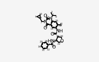 CC(C)n1c(=O)n(CC2CC2)c(=O)c2cc(NC(=O)[C@@H]3COC[C@@H]3NC(=O)c3ccccc3)c(F)cc21